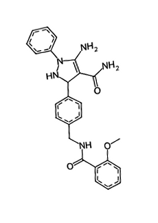 COc1ccccc1C(=O)NCc1ccc(C2NN(c3ccccc3)C(N)=C2C(N)=O)cc1